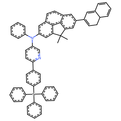 CC1(C)c2cc(C3=CCC4C=CC=CC4=C3)cc3ccc4cc(N(c5ccccc5)c5ccc(-c6ccc([Si](c7ccccc7)(c7ccccc7)c7ccccc7)cc6)nc5)cc1c4c23